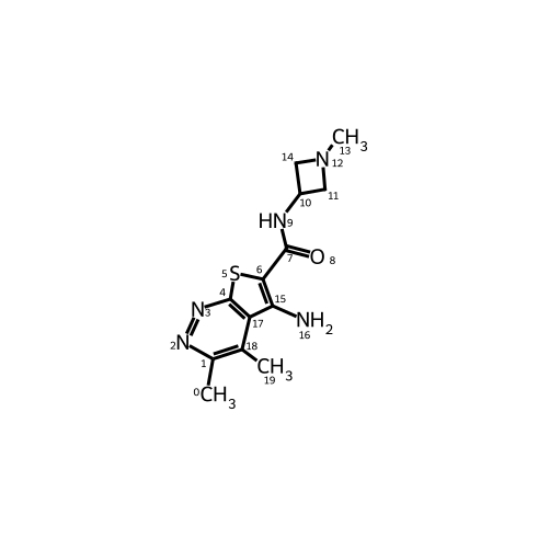 Cc1nnc2sc(C(=O)NC3CN(C)C3)c(N)c2c1C